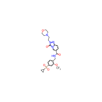 O=C(NCc1ccc(S(=O)(=O)C2CC2)cc1OC(F)(F)F)c1ccc2nn(CCN3CCOCC3)c(=O)n2c1